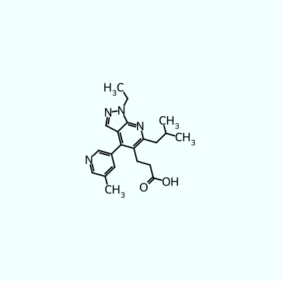 CCn1ncc2c(-c3cncc(C)c3)c(CCC(=O)O)c(CC(C)C)nc21